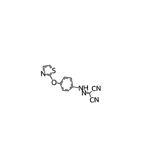 N#CC(C#N)=NNc1ccc(Oc2nccs2)cc1